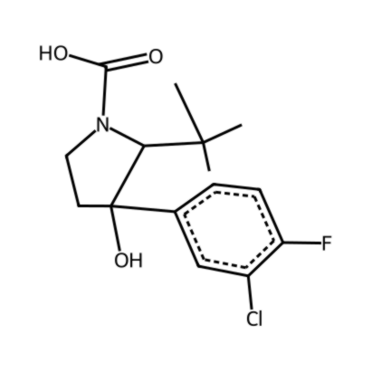 CC(C)(C)C1N(C(=O)O)CCC1(O)c1ccc(F)c(Cl)c1